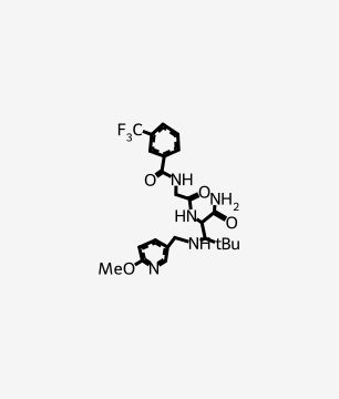 COc1ccc(CNC(C(NC(=O)CNC(=O)c2cccc(C(F)(F)F)c2)C(N)=O)C(C)(C)C)cn1